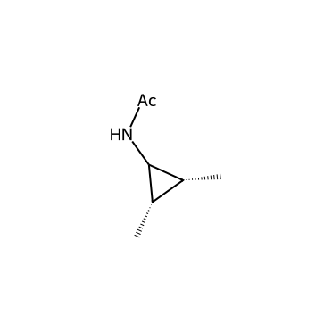 CC(=O)NC1[C@@H](C)[C@H]1C